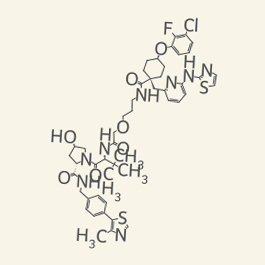 Cc1ncsc1-c1ccc(CNC(=O)[C@@H]2C[C@@H](O)CN2C(=O)[C@@H](NC(=O)COCCCNC(=O)[C@]2(Cc3cccc(Nc4nccs4)n3)CC[C@@H](Oc3cccc(Cl)c3F)CC2)C(C)(C)C)cc1